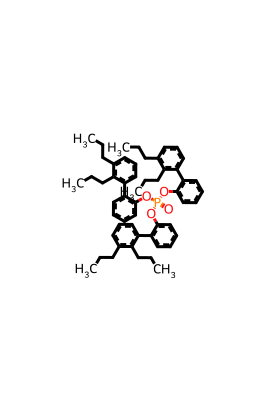 CCCc1cccc(-c2ccccc2OP(=O)(Oc2ccccc2-c2cccc(CCC)c2CCC)Oc2ccccc2-c2cccc(CCC)c2CCC)c1CCC